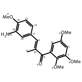 COc1cc(OC)c(OC)c(C(=O)C(C)=Cc2ccc(OC)c(N)c2)c1